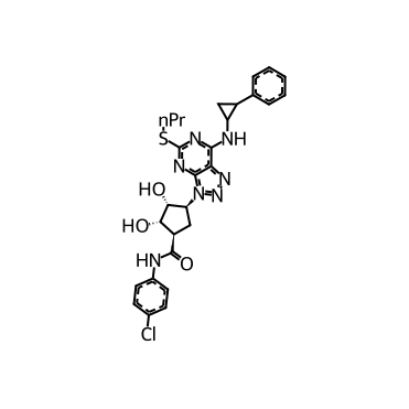 CCCSc1nc(NC2CC2c2ccccc2)c2nnn([C@H]3C[C@@H](C(=O)Nc4ccc(Cl)cc4)[C@H](O)[C@@H]3O)c2n1